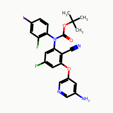 CC(C)(C)OC(=O)N(c1ccc(I)cc1F)c1cc(F)cc(Oc2cncc(N)c2)c1C#N